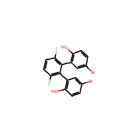 Oc1ccc(Br)cc1-c1c(F)ccc(F)c1-c1cc(Br)ccc1O